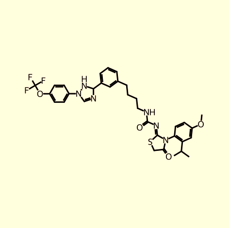 COc1ccc(N2C(=O)CS/C2=N\C(=O)NCCCCc2cccc(C3N=CN(c4ccc(OC(F)(F)F)cc4)N3)c2)c(C(C)C)c1